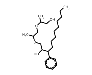 CCCCCCCCCC(c1ccccc1)C(O)COC(C)COC(C)CO